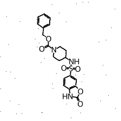 O=C(OCc1ccccc1)N1CCC(NS(=O)(=O)c2ccc3[nH]c(=O)oc3c2)CC1